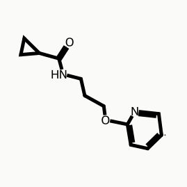 O=C(NCCCOc1cc[c]cn1)C1CC1